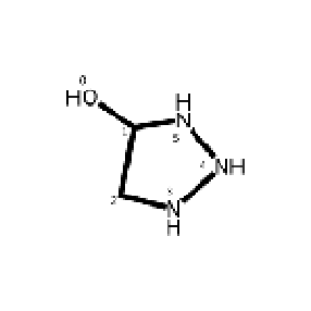 OC1CNNN1